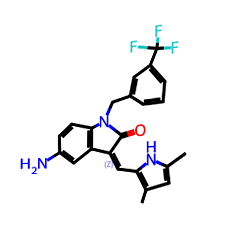 Cc1cc(C)c(/C=C2\C(=O)N(Cc3cccc(C(F)(F)F)c3)c3ccc(N)cc32)[nH]1